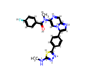 CNc1nnc(-c2ccc(-c3cnc4cnc(N(C)C(=O)c5ccc(F)cc5)cn34)cc2)s1